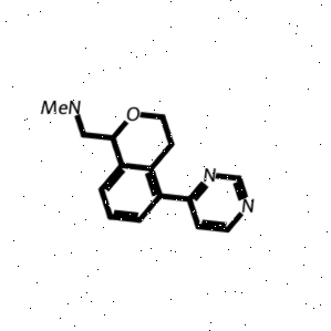 CNCC1OCCc2c(-c3ccncn3)cccc21